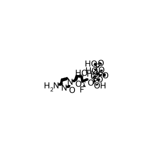 Nc1ccn(C2=C[C@H](O)[C@@](CF)(COP(=O)(O)OP(=O)(O)OP(=O)(O)O)O2)c(=O)n1